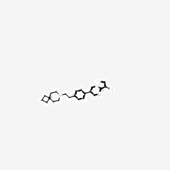 Brc1cnn2cc(-c3ccc(CCN4CCC5(CCC5)CC4)cc3)cnc12